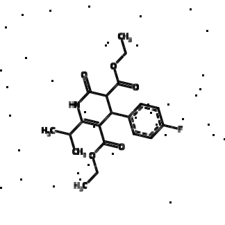 CCOC(=O)C1=C(C(C)C)NC(=O)C(C(=O)OCC)C1c1ccc(F)cc1